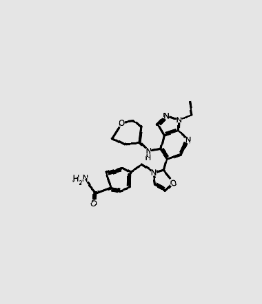 CCn1ncc2c(NC3CCOCC3)c(C3OC=CN3Cc3ccc(C(N)=O)cc3)cnc21